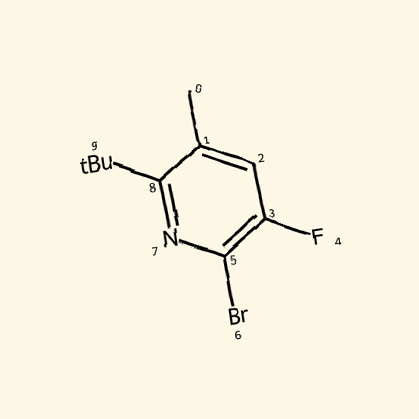 Cc1cc(F)c(Br)nc1C(C)(C)C